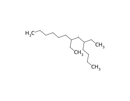 CCCCCCC([CH]C(CC)CCCC)CC